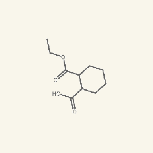 CCOC(=O)C1CCCCC1C(=O)O